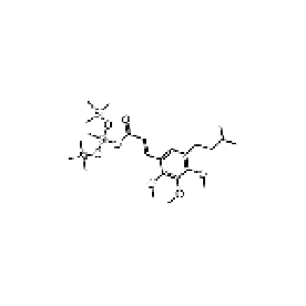 COc1c(C=CC(=O)O[Si](C)(O[Si](C)(C)C)O[Si](C)(C)C)cc(CCC(C)C)c(OC)c1OC